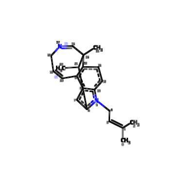 CC(C)=CCn1c2cc3c4c(ccc31)C(C)(/C=N\C/C=C\4)C2C